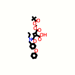 CCCN(Cc1ccc(Oc2ccccc2)cc1)C(=O)C1CC(C(=O)OCOC(=O)C(C)(C)C)C1C(=O)O